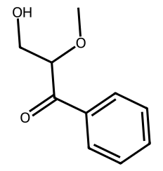 COC(CO)C(=O)c1ccccc1